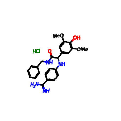 COc1cc([C@H](Nc2ccc(C(=N)N)cc2)C(=O)NCc2ccccc2)cc(OC)c1O.Cl